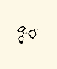 C[C]1CCCN(C(C2=CC=CCC2)C2=COC=CO2)C1